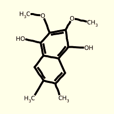 COc1c(OC)c(O)c2cc(C)c(C)cc2c1O